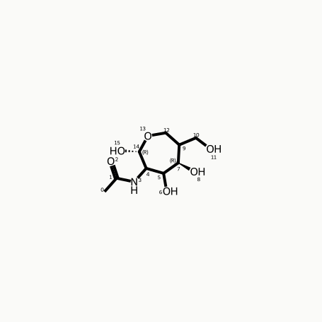 CC(=O)NC1C(O)[C@H](O)C(CO)CO[C@H]1O